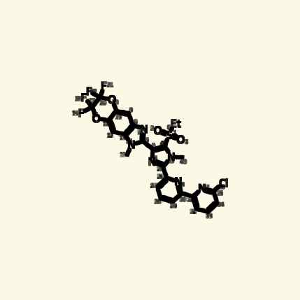 CCS(=O)(=O)c1c(-c2nc3cc4c(cc3n2C)OC(F)(F)C(F)(F)O4)nc(-c2cccc(-c3cccc(Cl)n3)n2)n1C